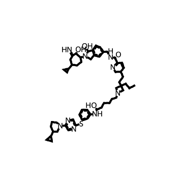 CCCC1(CCC2C=CC(C(=O)NCc3ccc4c(c3)CN(C3CCC(C5CC5)CC(=N)C3O)C4O)=NC2)CN(CCCCCC(O)Nc2cccc(Sc3cnc(N4CCCC(C5CC5)C4)cn3)c2)C1